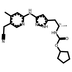 Cc1cc(Nc2cc(C[C@H](C)NC(=O)OC3CCCC3)[nH]n2)ncc1CC#N